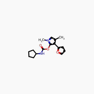 Cc1cn(C)c(OC(=O)NC2CCCC2)c1-c1ccco1